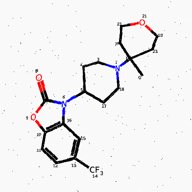 CC1(N2CCC(n3c(=O)oc4ccc(C(F)(F)F)cc43)CC2)CCOCC1